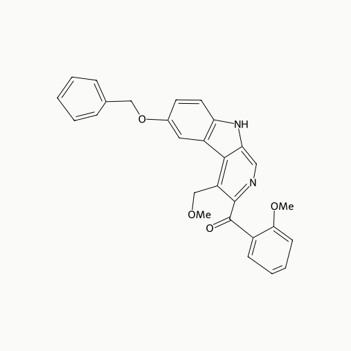 COCc1c(C(=O)c2ccccc2OC)ncc2[nH]c3ccc(OCc4ccccc4)cc3c12